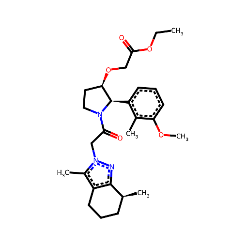 CCOC(=O)CO[C@@H]1CCN(C(=O)Cn2nc3c(c2C)CCC[C@@H]3C)[C@@H]1c1cccc(OC)c1C